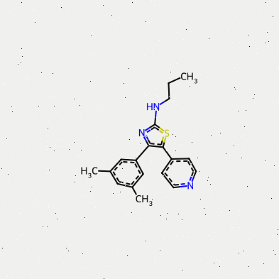 CCCNc1nc(-c2cc(C)cc(C)c2)c(-c2ccncc2)s1